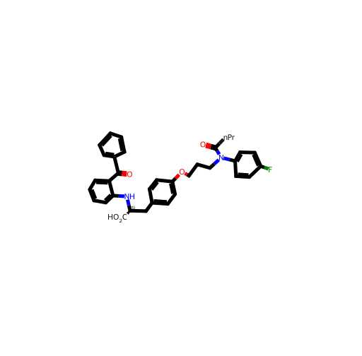 CCCC(=O)N(CCCOc1ccc(C[C@H](Nc2ccccc2C(=O)c2ccccc2)C(=O)O)cc1)c1ccc(F)cc1